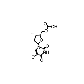 Cc1cn([C@H]2C[C@H](F)[C@@H](COC(=O)O)O2)c(=O)[nH]c1=O